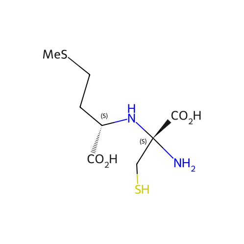 CSCC[C@H](N[C@](N)(CS)C(=O)O)C(=O)O